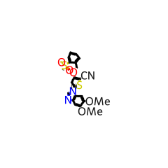 COc1cc2ncn([C@H]3CC(OCc4ccccc4S(C)(=O)=O)=C(C#N)S3)c2cc1OC